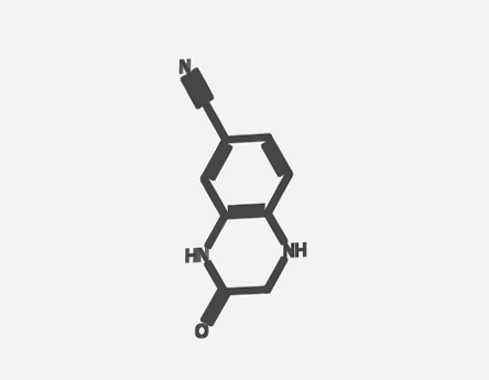 N#Cc1ccc2c(c1)NC(=O)CN2